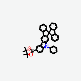 CC1(C)OB(c2ccc3c(c2)c2cc4c(cc2n3-c2ccccc2)C2(c3ccccc3-c3ccccc32)c2ccccc2-4)OC1(C)C